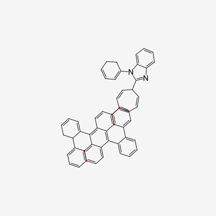 C1=CCCC(n2c(C3C=CC=C(c4ccc5c(C6=CC=CCC6c6ccccc6)c6ccccc6c(-c6ccccc6-c6ccccc6)c5c4)C=C3)nc3ccccc32)=C1